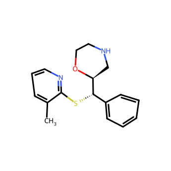 Cc1cccnc1S[C@@H](c1ccccc1)[C@@H]1CNCCO1